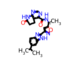 CC(C)c1ccc2nc(-c3cc([C@@H](C)NC(=O)c4ncnc5c4CCC(=O)N5)on3)[nH]c2c1